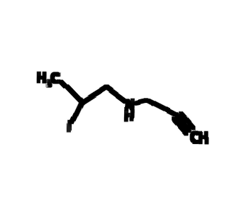 C#CCNCC(C)I